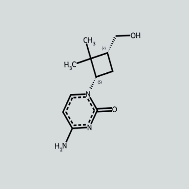 CC1(C)[C@H](CO)C[C@@H]1n1ccc(N)nc1=O